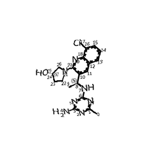 Cc1nc(N)nc(N[C@@H](C)c2cc3cccc(Cl)c3nc2N2CC[C@H](O)C2)n1